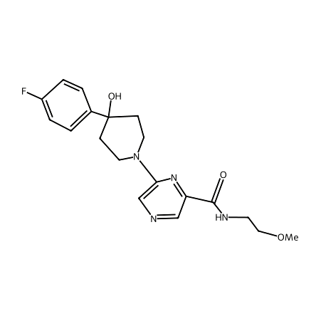 COCCNC(=O)c1cncc(N2CCC(O)(c3ccc(F)cc3)CC2)n1